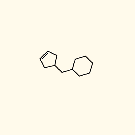 C1=CCC(CC2CCCCC2)C1